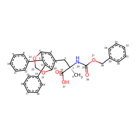 C[C@](Cc1cc2c(-c3ccccc3)c(-c3ccccc3)c1OCO2)(NC(=O)OCc1ccccc1)C(=O)O